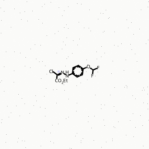 CCOC(=O)/C(Cl)=N\Nc1ccc(OC(F)F)cc1